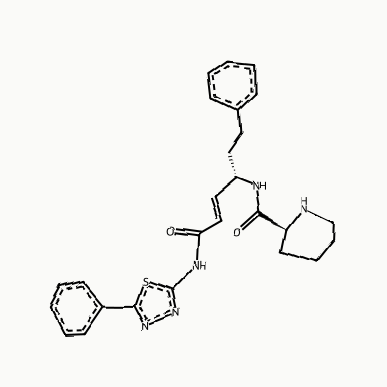 O=C(/C=C/[C@H](CCc1ccccc1)NC(=O)[C@@H]1CCCCN1)Nc1nnc(-c2ccccc2)s1